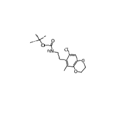 Cc1c(CCNC(=O)OC(C)(C)C)c(Cl)cc2c1OCCO2